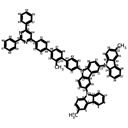 Cc1ccc2c(c1)c1ccccc1n2-c1ccc2c(c1)c1cc(-n3c4ccccc4c4cc(C)ccc43)ccc1n2-c1ccc(-c2ccc(-c3ccc(-c4cc(-c5ccccc5)nc(-c5ccccc5)n4)cc3)cc2C)cc1